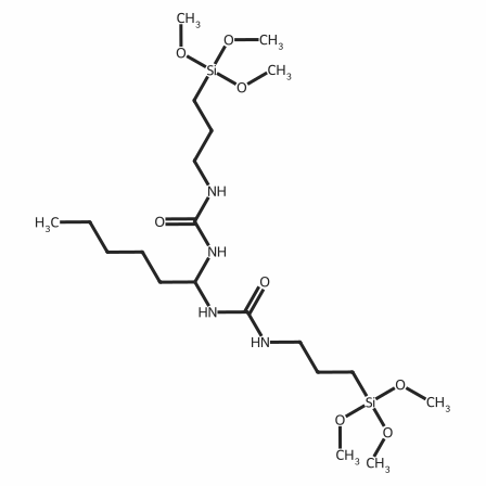 CCCCCC(NC(=O)NCCC[Si](OC)(OC)OC)NC(=O)NCCC[Si](OC)(OC)OC